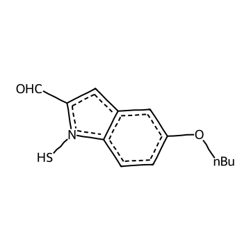 CCCCOc1ccc2c(c1)cc(C=O)n2S